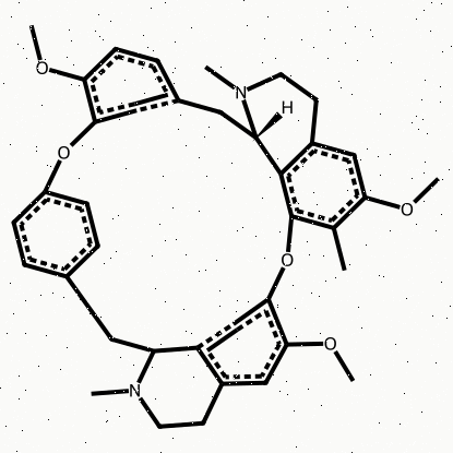 COc1ccc2cc1Oc1ccc(cc1)CC1c3cc(c(OC)cc3CCN1C)Oc1c(C)c(OC)cc3c1[C@H](C2)N(C)CC3